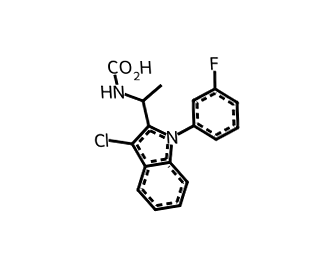 CC(NC(=O)O)c1c(Cl)c2ccccc2n1-c1cccc(F)c1